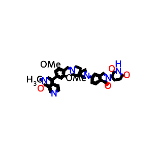 COc1cc(-c2cn(C)c(=O)c3cnccc23)cc(OC)c1CN1CCC2(CC1)CN(c1ccc3c(c1)CN(C1CCC(=O)NC1=O)C3=O)C2